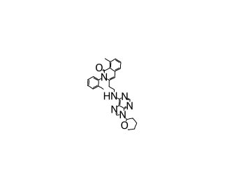 Cc1ccccc1-n1c(CCNc2ncnc3c2ncn3C2CCCCO2)cc2cccc(C)c2c1=O